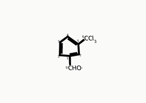 O=[C]c1cccc(C(Cl)(Cl)Cl)c1